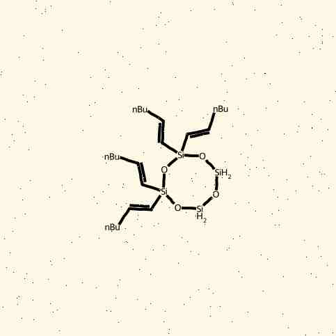 CCCC/C=C/[Si]1(/C=C/CCCC)O[SiH2]O[SiH2]O[Si](/C=C/CCCC)(/C=C/CCCC)O1